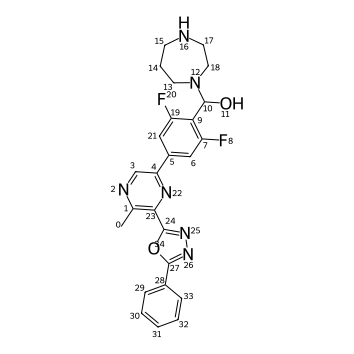 Cc1ncc(-c2cc(F)c(C(O)N3CCCNCC3)c(F)c2)nc1-c1nnc(-c2ccccc2)o1